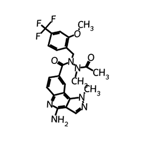 COc1cc(C(F)(F)F)ccc1CN(C(=O)c1ccc2nc(N)c3cnn(C)c3c2c1)N(C)C(C)=O